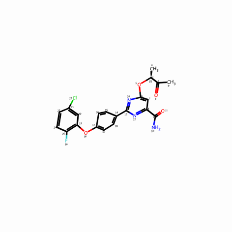 CC(=O)[C@H](C)Oc1cc(C(N)=O)nc(-c2ccc(Oc3cc(Cl)ccc3F)cc2)n1